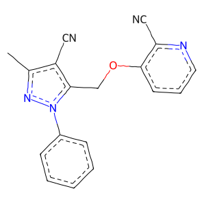 Cc1nn(-c2ccccc2)c(COc2cccnc2C#N)c1C#N